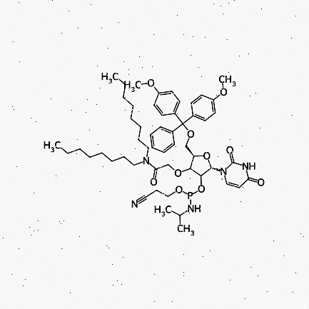 CCCCCCCCN(CCCCCCCC)C(=O)COC1C(OP(NC(C)C)OCCC#N)[C@H](n2ccc(=O)[nH]c2=O)O[C@@H]1COC(c1ccccc1)(c1ccc(OC)cc1)c1ccc(OC)cc1